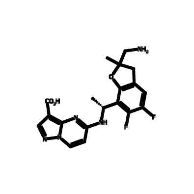 C[C@@H](Nc1ccn2ncc(C(=O)O)c2n1)c1c(F)c(F)cc2c1OC(C)(CN)C2